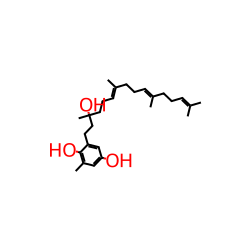 CC(C)=CCC/C(C)=C/CC/C(C)=C/CCC(C)(O)CCc1cc(O)cc(C)c1O